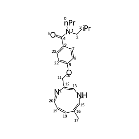 CCCN(CC(C)C)C(=O)c1ccc(OCc2c[nH]cc(C)cccn2)cc1